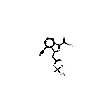 CC(C)(C)OC(=O)CC1N=C(C(N)=O)c2cccc(C#N)c21